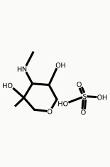 CNC1C(O)COCC1(C)O.O=S(=O)(O)O